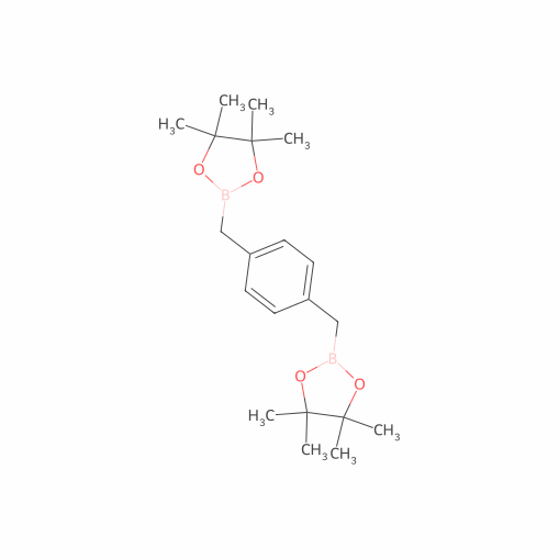 CC1(C)OB(Cc2ccc(CB3OC(C)(C)C(C)(C)O3)cc2)OC1(C)C